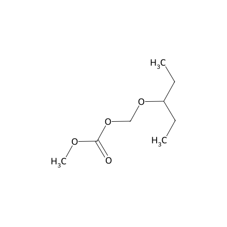 CCC(CC)OCOC(=O)OC